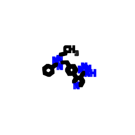 CCCn1nc(C2CCCCC2)nc1Cc1ccc(-c2cnccc2-c2nnn[nH]2)cc1